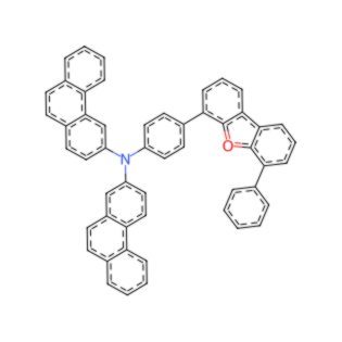 c1ccc(-c2cccc3c2oc2c(-c4ccc(N(c5ccc6c(ccc7ccccc76)c5)c5ccc6ccc7ccccc7c6c5)cc4)cccc23)cc1